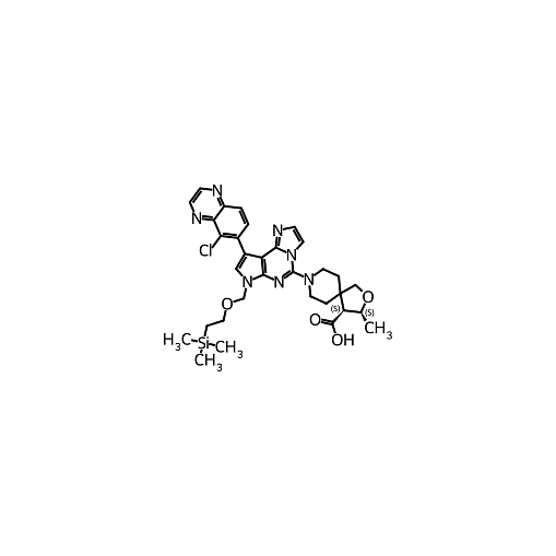 C[C@@H]1OCC2(CCN(c3nc4c(c(-c5ccc6nccnc6c5Cl)cn4COCC[Si](C)(C)C)c4nccn34)CC2)[C@@H]1C(=O)O